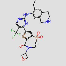 CCc1cc2c(cc1Nc1ncc(C(F)(F)F)c(-c3cc4c(s3)C(=O)N(C3COC3)CCS4(=O)=O)n1)CNCC2